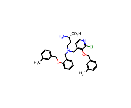 Cc1cccc(COc2ccccc2CN(CC[C@H](N)C(=O)O)Cc2ccnc(Cl)c2OCc2cccc(C)c2)c1